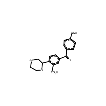 COc1ccc(C(=O)c2ccc(C3CNCCO3)c(C(=O)O)c2)cc1